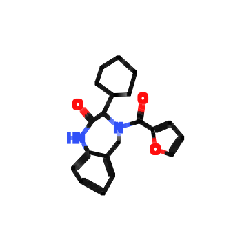 O=C1Nc2ccccc2CN(C(=O)c2ccco2)C1C1CCCCC1